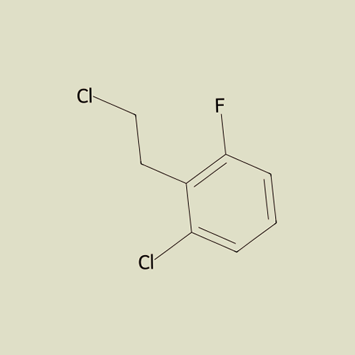 Fc1cccc(Cl)c1CCCl